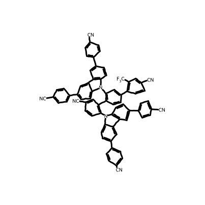 N#Cc1ccc(-c2ccc3c(c2)c2cc(-c4ccc(C#N)cc4)ccc2n3-c2ccc(C#N)cc2-c2ccc(-c3ccc(C#N)cc3C(F)(F)F)cc2-n2c3ccc(-c4ccc(C#N)cc4)cc3c3cc(-c4ccc(C#N)cc4)ccc32)cc1